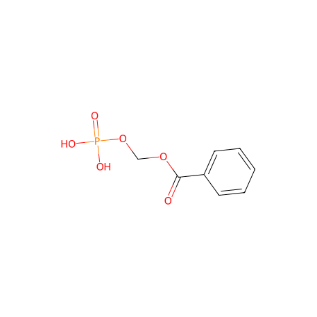 O=C(OCOP(=O)(O)O)c1ccccc1